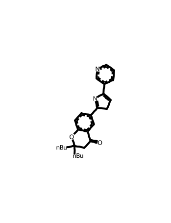 CCCCC1(CCCC)CC(=O)c2cc(C3=NC(c4cccnc4)=CC3)ccc2O1